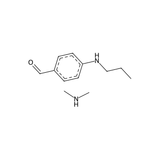 CCCNc1ccc(C=O)cc1.CNC